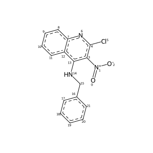 O=[N+]([O-])c1c(Cl)nc2ccccc2c1NCc1c[c]ccc1